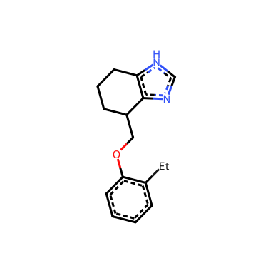 CCc1ccccc1OCC1CCCc2[nH]cnc21